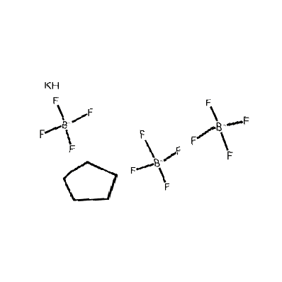 C1CCCC1.F[B-](F)(F)F.F[B-](F)(F)F.F[B-](F)(F)F.[KH]